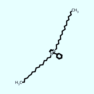 CCCCCCCCCCCCCCCCCn1cc[n+](CCCCCCCCCCCCCCCC)c1-c1ccccc1